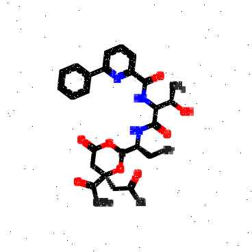 CCC(=O)C[C@]1(C(=O)OC)CC(=O)OB([C@H](CC(C)C)NC(=O)C(NC(=O)c2cccc(-c3ccccc3)n2)[C@@H](C)O)O1